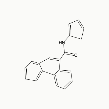 O=C(NC1=CC=CC1)c1cc2ccccc2c2ccccc12